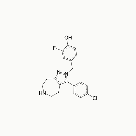 Oc1ccc(Cn2nc3c(c2-c2ccc(Cl)cc2)CCNCC3)cc1F